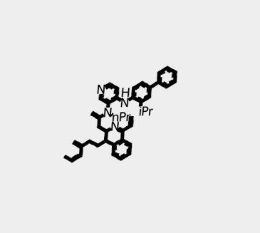 C=CC1=NC(CC(=C)N(CCC)c2cnccc2Nc2ccc(-c3ccccc3)cc2C(C)C)C(CCC(=C)/C=C\C)c2ccccc21